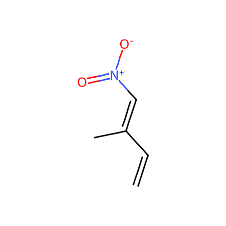 C=C/C(C)=C/[N+](=O)[O-]